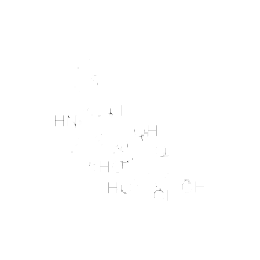 Cc1c(-c2cccs2)[nH]c2cccc(O[C@]3(O)[C@@H](O)O[C@H](CO)[C@@H](O)[C@@H]3O)c12